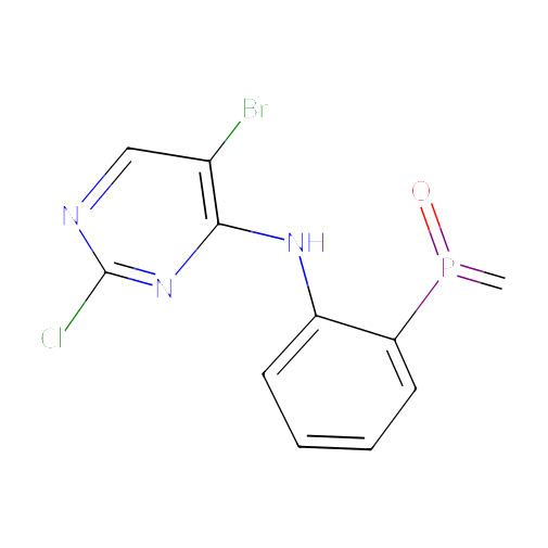 C=P(=O)c1ccccc1Nc1nc(Cl)ncc1Br